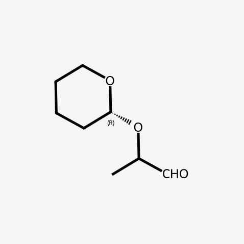 CC(C=O)O[C@@H]1CCCCO1